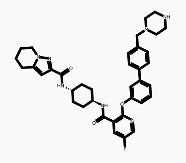 O=C(N[C@H]1CC[C@H](NC(=O)c2cc(F)cnc2Oc2cccc(-c3ccc(CN4CCNCC4)cc3)c2)CC1)c1cc2n(n1)CCCC2